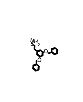 NSCCc1cc(OCc2ccccc2)cc(OCc2ccccc2)c1